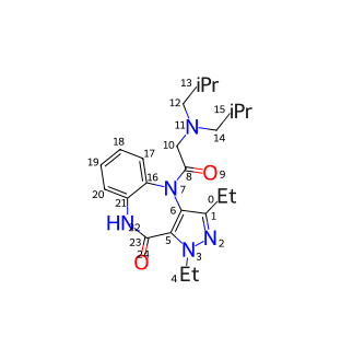 CCc1nn(CC)c2c1N(C(=O)CN(CC(C)C)CC(C)C)c1ccccc1NC2=O